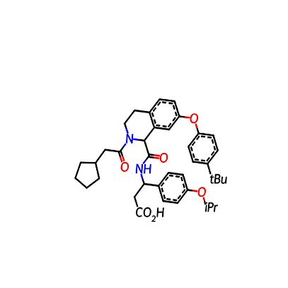 CC(C)Oc1ccc(C(CC(=O)O)NC(=O)C2c3cc(Oc4ccc(C(C)(C)C)cc4)ccc3CCN2C(=O)CC2CCCC2)cc1